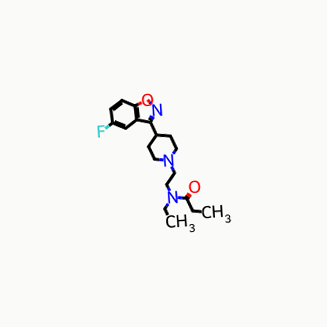 CCC(=O)N(CC)CCN1CCC(c2noc3ccc(F)cc23)CC1